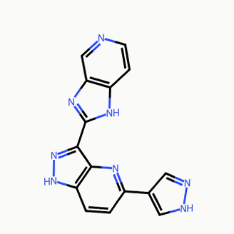 c1cc2[nH]c(-c3n[nH]c4ccc(-c5cn[nH]c5)nc34)nc2cn1